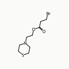 O=C(CCBr)OCCN1CCSCC1